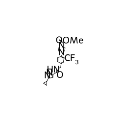 COC(=O)N1CCN(c2ccc(CNC(=O)c3cc(C4CC4)nn3C)cc2C(F)(F)F)CC1